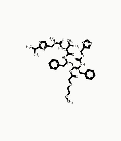 COCCOCC(=O)O[C@@H](C[C@H](Cc1ccccc1)NC(=O)[C@@H](NC(=O)N(C)Cc1csc(C(C)C)n1)C(C)C)[C@H](Cc1ccccc1)NC(=O)OCc1cncs1